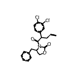 C=CCC(C(=O)N1C(=O)OCC1Cc1ccccc1)c1ccc(Cl)c(Cl)c1